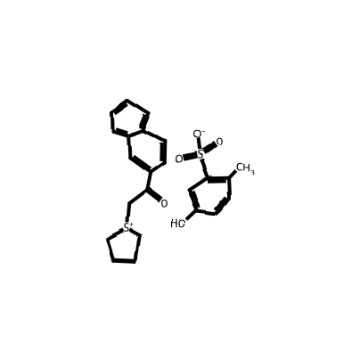 Cc1ccc(O)cc1S(=O)(=O)[O-].O=C(C[S+]1CCCC1)c1ccc2ccccc2c1